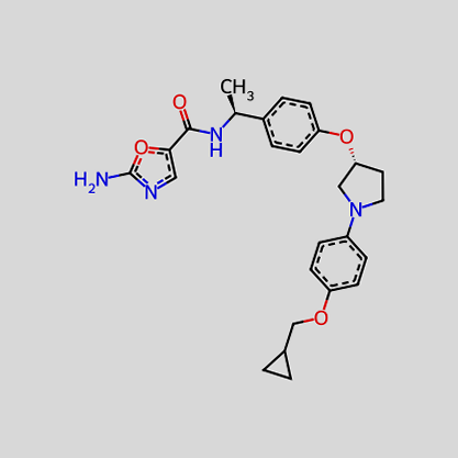 C[C@H](NC(=O)c1cnc(N)o1)c1ccc(O[C@@H]2CCN(c3ccc(OCC4CC4)cc3)C2)cc1